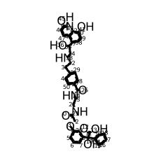 O=C(COc1cccc(C(O)(C(=O)O)c2ccccc2)c1)NCCNC(=O)c1ccc(CCNCC(O)c2ccc(O)c3[nH]c(=O)ccc23)cc1